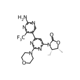 [CH2][C@H]1[C@@H](C)OC(=O)N1c1cc(-c2cnc(N)nc2C(F)(F)F)nc(N2CCOCC2)n1